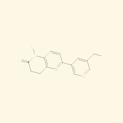 CN1C(=O)CCc2nc(-c3cncc(CCl)c3)ccc21